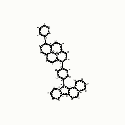 c1ccc(-c2ccc3ccc4c(-c5ccc(-n6c7ccccc7c7ccc8ccccc8c76)cc5)ccc5ccc2c3c54)cc1